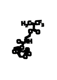 C=C(C(=O)OCCNC(=O)OC1C2CC3C(O2)C1OS3(=O)=O)C(F)(F)F